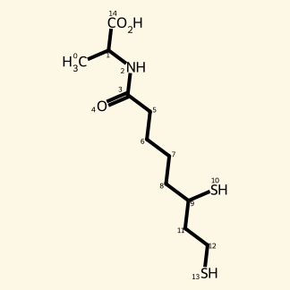 CC(NC(=O)CCCCC(S)CCS)C(=O)O